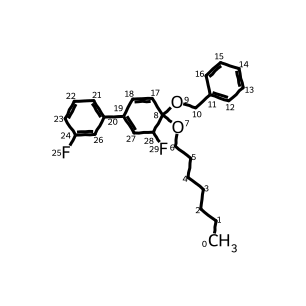 CCCCCCCOC1(OCc2ccccc2)C=CC(c2cccc(F)c2)=CC1F